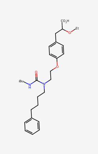 CCOC(Cc1ccc(OCCN(CCCCc2ccccc2)C(=O)NC(C)CC)cc1)C(=O)O